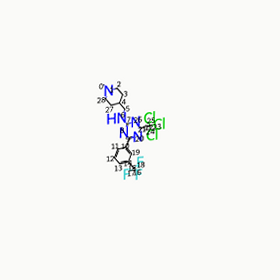 CN1CCC(CNc2nc(-c3cccc(C(F)(F)F)c3)nc(C(Cl)(Cl)Cl)n2)CC1